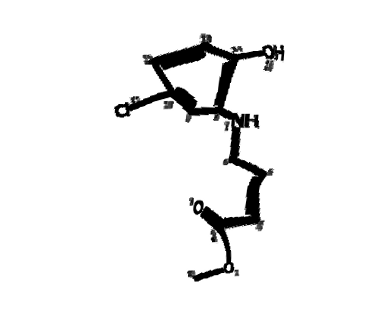 COC(=O)/C=C\CNc1cc(Cl)ccc1O